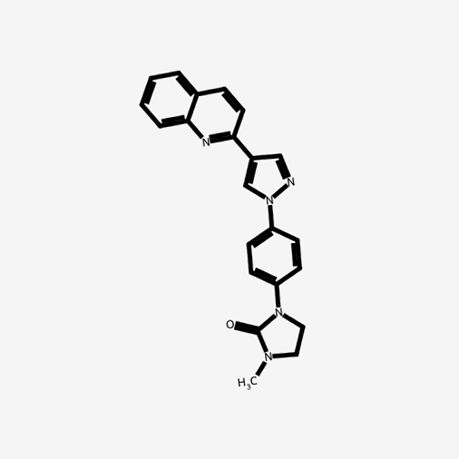 CN1CCN(c2ccc(-n3cc(-c4ccc5ccccc5n4)cn3)cc2)C1=O